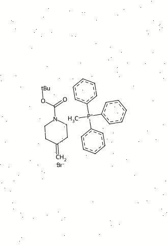 C=C1CCN(C(=O)OC(C)(C)C)CC1.C[P+](c1ccccc1)(c1ccccc1)c1ccccc1.[Br-]